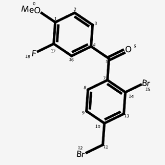 COc1ccc(C(=O)c2ccc(CBr)cc2Br)cc1F